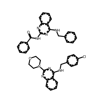 Clc1ccc(CNc2nc(N3CCOCC3)nc3ccccc23)cc1.O=C(Nc1nc(NCc2ccccc2)c2ccccc2n1)c1ccccc1